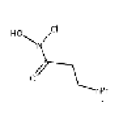 CCCCCC(=O)N(O)Cl